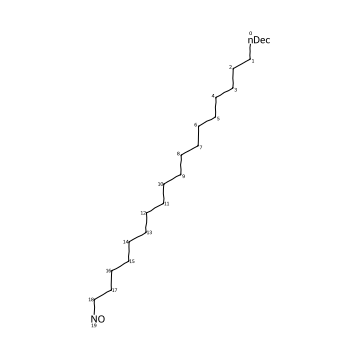 CCCCCCCCCCCCCCCCCCCCCCCCCCCCN=O